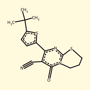 CC(C)(C)c1ccc(-c2nc3n(c(=O)c2C#N)CCCS3)s1